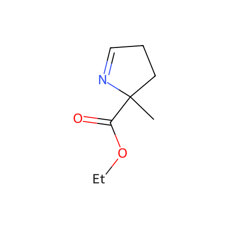 CCOC(=O)C1(C)CCC=N1